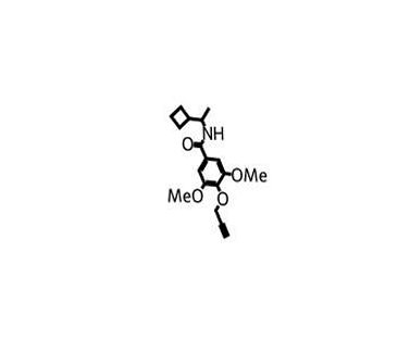 C#CCOc1c(OC)cc(C(=O)NC(C)C2CCC2)cc1OC